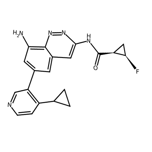 Nc1cc(-c2cnccc2C2CC2)cc2cc(NC(=O)[C@H]3C[C@H]3F)nnc12